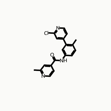 Cc1cc(C(=O)Nc2ccc(C)c(-c3ccnc(Cl)c3)c2)ccn1